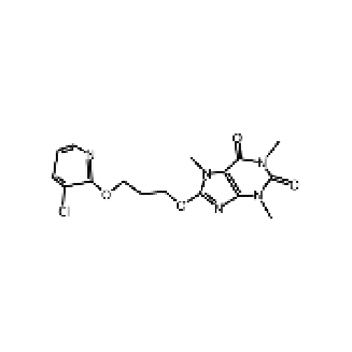 Cn1c(=O)c2c(nc(OCCCOc3ncccc3Cl)n2C)n(C)c1=O